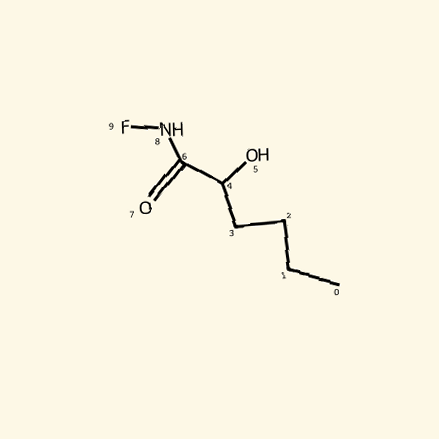 CCCCC(O)C(=O)NF